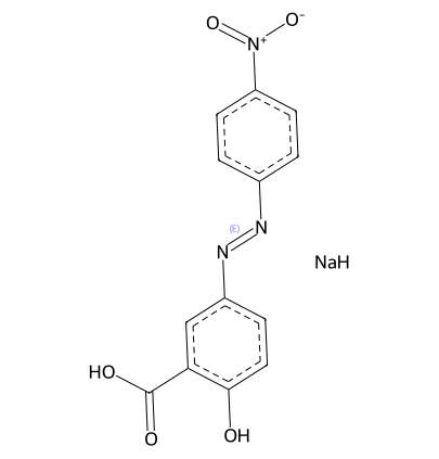 O=C(O)c1cc(/N=N/c2ccc([N+](=O)[O-])cc2)ccc1O.[NaH]